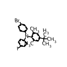 Cc1cc(C(C)(C)C)cc(C)c1N(c1ccc(Br)cc1)c1ccc(I)cc1